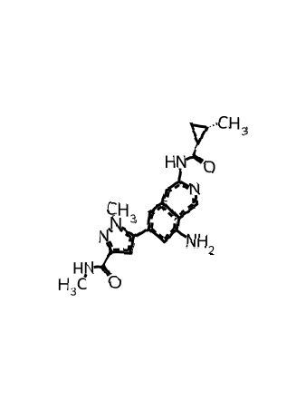 CNC(=O)c1cc(-c2cc(N)c3cnc(NC(=O)[C@H]4C[C@@H]4C)cc3c2)n(C)n1